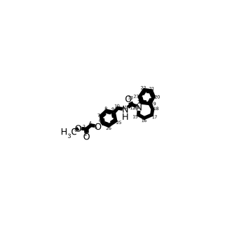 COC(=O)COc1ccc(CNC(=O)N2CCCCc3ccccc32)cc1